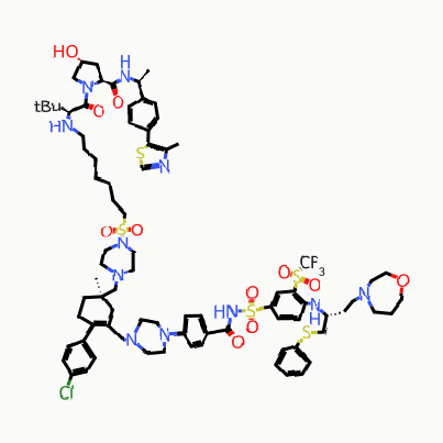 Cc1ncsc1-c1ccc([C@H](C)NC(=O)[C@@H]2C[C@@H](O)CN2C(=O)[C@@H](NCCCCCCCS(=O)(=O)N2CCN(C[C@]3(C)CCC(c4ccc(Cl)cc4)=C(CN4CCN(c5ccc(C(=O)NS(=O)(=O)c6ccc(N[C@H](CCN7CCCOCC7)CSc7ccccc7)c(S(=O)(=O)C(F)(F)F)c6)cc5)CC4)C3)CC2)C(C)(C)C)cc1